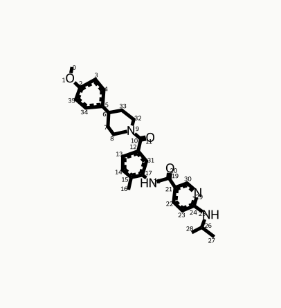 COc1ccc(C2CCN(C(=O)c3ccc(C)c(NC(=O)c4ccc(NC(C)C)nc4)c3)CC2)cc1